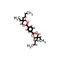 CCCCC1(CC)COC(c2ccc(C3OCC(CC)(CCCC)CO3)cc2)OC1